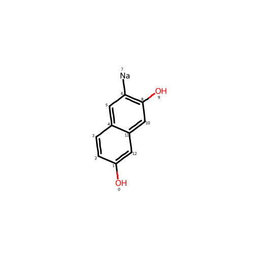 Oc1ccc2c[c]([Na])c(O)cc2c1